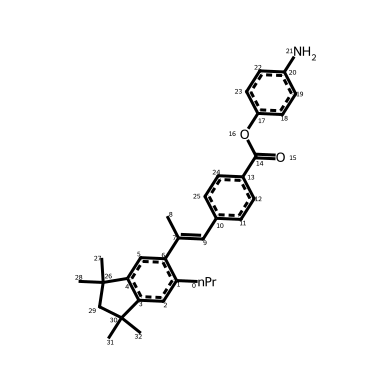 CCCc1cc2c(cc1C(C)=Cc1ccc(C(=O)Oc3ccc(N)cc3)cc1)C(C)(C)CC2(C)C